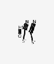 N#C[S-].N#C[S-].[O]=[Hf+2]